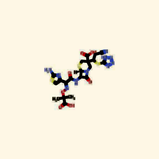 CC(C)(ON=C(C(=O)NC1C(=O)N2CC(C(=O)O)(C(CC#N)Sc3nnn[nH]3)CS[C@H]12)c1csc(N)n1)C(=O)O